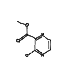 COC(=O)c1nccnc1[O]